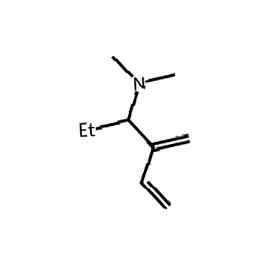 C=CC(=C)C(CC)N(C)C